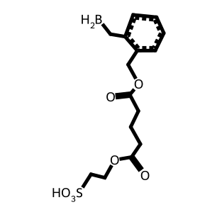 BCc1ccccc1COC(=O)CCCC(=O)OCCS(=O)(=O)O